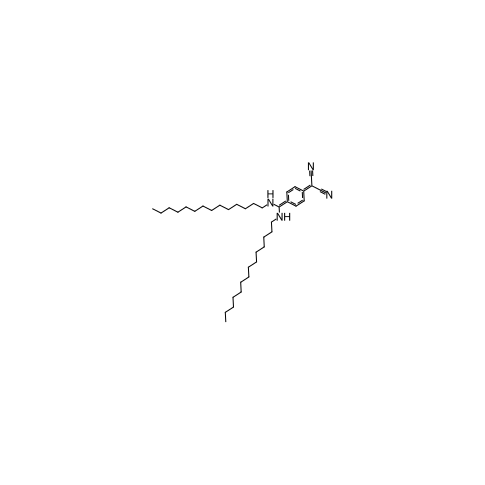 CCCCCCCCCCCCCCNC(NCCCCCCCCCCCCCC)=c1ccc(=C(C#N)C#N)cc1